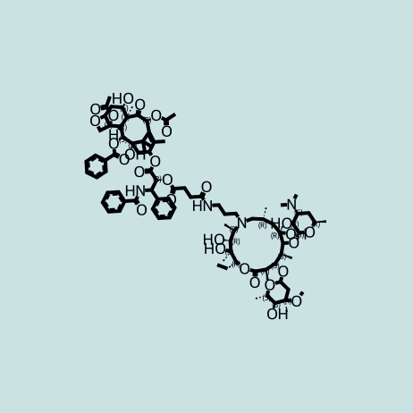 CC[C@H]1OC(=O)[C@H](C)[C@@H](OC2C[C@@](C)(OC)[C@@H](O)[C@H](C)O2)[C@H](C)C(O[C@@H]2O[C@H](C)C[C@H](N(C)C)[C@H]2O)[C@](C)(O)C[C@@H](C)CN(CCCNC(=O)CCC(=O)O[C@@H](C(=O)OC2C[C@@]3(O)[C@@H](OC(=O)c4ccccc4)[C@H]4[C@](C)(C(=O)[C@H](OC(C)=O)C(=C2C)C3(C)C)[C@@H](O)CC2OC[C@]24OC(C)=O)C(NC(=O)c2ccccc2)c2ccccc2)[C@H](C)[C@@H](O)[C@]1(C)O